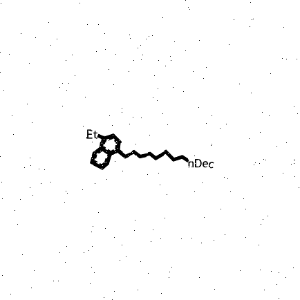 CCCCCCCCCCCCCCCCCCc1ccc(CC)c2ccccc12